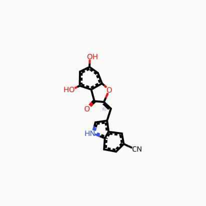 N#Cc1ccc2[nH]cc(/C=C3/Oc4cc(O)cc(O)c4C3=O)c2c1